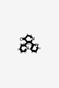 O=C1CC=NC(c2ccccn2)=C1c1ccccn1